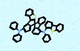 c1ccc(N(c2ccccc2)c2ccc3c(c2)-c2c(sc4ccccc24)C32c3ccccc3-c3c(N(c4ccccc4)c4cccc5c4sc4ccccc45)cccc32)cc1